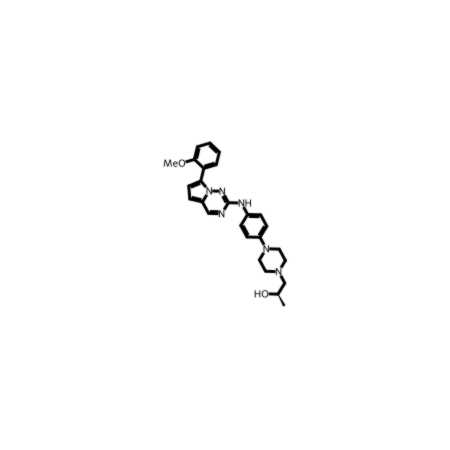 COc1ccccc1-c1ccc2cnc(Nc3ccc(N4CCN(C[C@@H](C)O)CC4)cc3)nn12